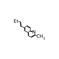 CC/C=C/c1ccc2nc(C)ccc2c1